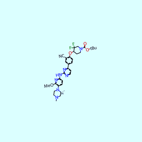 COc1nc(Nc2nccc(-c3ccc(OC4CCN(C(=O)OC(C)(C)C)CC4(F)F)c(C#N)c3)n2)ccc1N1CCN(C)C[C@H]1C